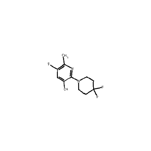 Cc1nc(N2CCC(F)(F)CC2)c(C#N)cc1F